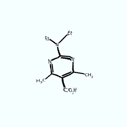 CCN(CC)c1nc(C)c(C(=O)O)c(C)n1